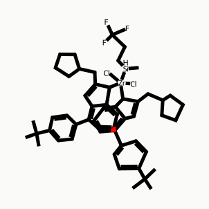 C[SiH](CCC(F)(F)F)[Zr]([Cl])([Cl])([CH]1C(CC2CCCC2)=Cc2c(-c3ccc(C(C)(C)C)cc3)cccc21)[CH]1C(CC2CCCC2)=Cc2c(-c3ccc(C(C)(C)C)cc3)cccc21